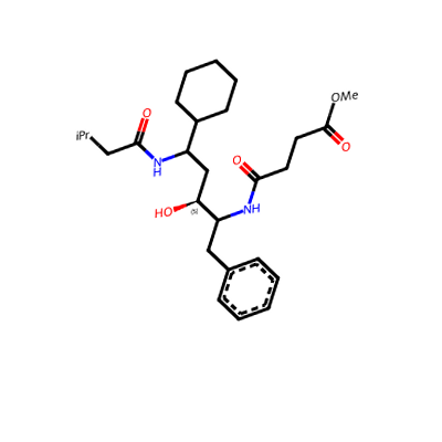 COC(=O)CCC(=O)NC(Cc1ccccc1)[C@@H](O)CC(NC(=O)CC(C)C)C1CCCCC1